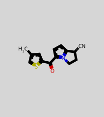 Cc1csc(C(=O)c2ccc3n2CCC3C#N)c1